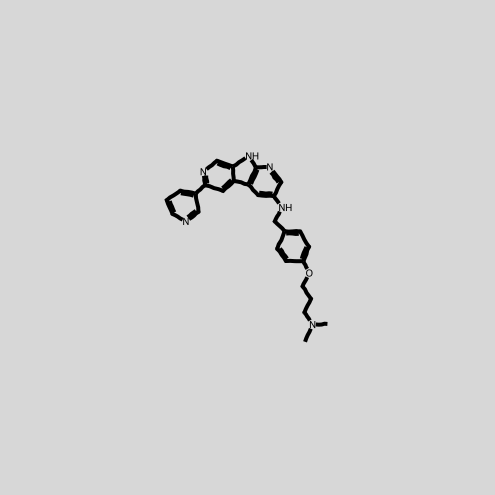 CN(C)CCCOc1ccc(CNc2cnc3[nH]c4cnc(-c5cccnc5)cc4c3c2)cc1